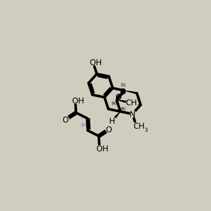 CN1CC[C@]23COCO[C@@]2(C)[C@H]1Cc1ccc(O)cc13.O=C(O)/C=C/C(=O)O